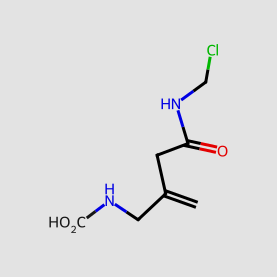 C=C(CNC(=O)O)CC(=O)NCCl